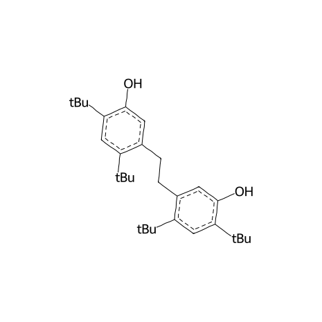 CC(C)(C)c1cc(C(C)(C)C)c(CCc2cc(O)c(C(C)(C)C)cc2C(C)(C)C)cc1O